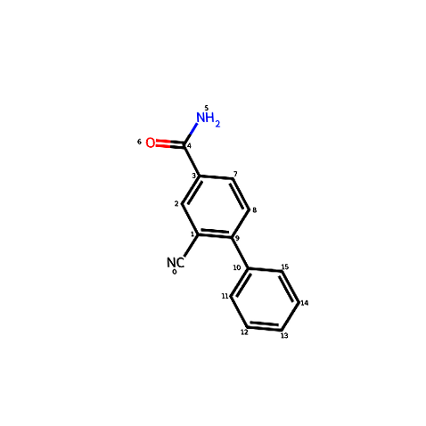 N#Cc1cc(C(N)=O)ccc1-c1ccccc1